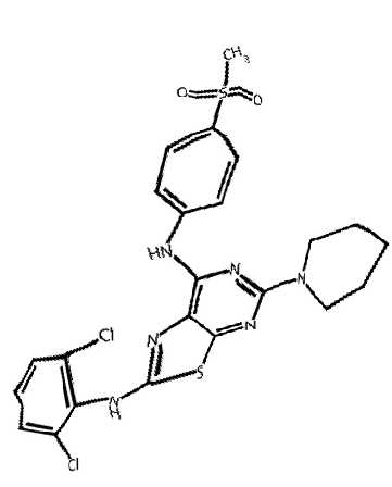 CS(=O)(=O)c1ccc(Nc2nc(N3CCCCC3)nc3sc(Nc4c(Cl)cccc4Cl)nc23)cc1